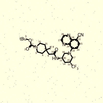 CC(C)(C)OC(=O)N1CCC(F)(CC(=O)N[C@@H]2C[C@H](C(F)(F)F)CN(c3ccc(C#N)c4nccnc34)C2)CC1